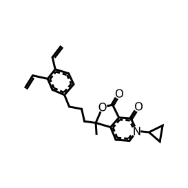 C=Cc1ccc(CCCC2(C)OC(=O)c3c2ccn(C2CC2)c3=O)cc1C=C